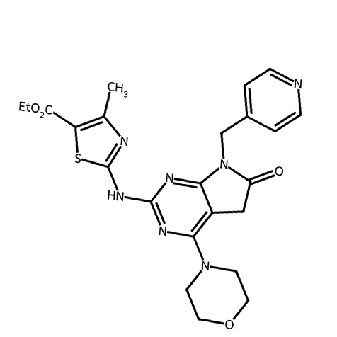 CCOC(=O)c1sc(Nc2nc(N3CCOCC3)c3c(n2)N(Cc2ccncc2)C(=O)C3)nc1C